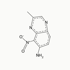 Cc1cnc2ccc(N)c([N+](=O)[O-])c2n1